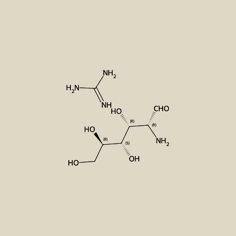 N=C(N)N.N[C@@H](C=O)[C@@H](O)[C@H](O)[C@H](O)CO